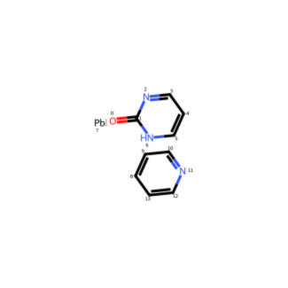 O=c1nccc[nH]1.[Pb].c1ccncc1